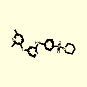 Cc1ccc(Oc2ccnc(Nc3ccc(S(=O)(=O)N4CCCCC4)cc3)c2)c(C)n1